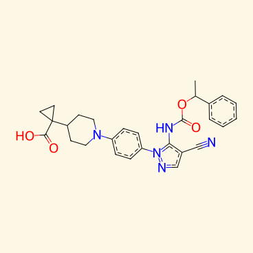 CC(OC(=O)Nc1c(C#N)cnn1-c1ccc(N2CCC(C3(C(=O)O)CC3)CC2)cc1)c1ccccc1